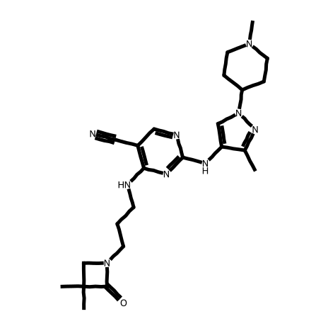 Cc1nn(C2CCN(C)CC2)cc1Nc1ncc(C#N)c(NCCCN2CC(C)(C)C2=O)n1